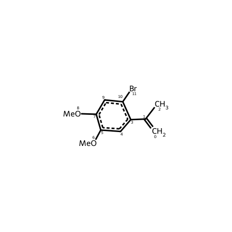 C=C(C)c1cc(OC)c(OC)cc1Br